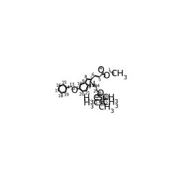 CCOC(=O)C=Cc1cc2cc(OCc3ccccc3)ccc2n1CCO[Si](C)(C)C(C)(C)C